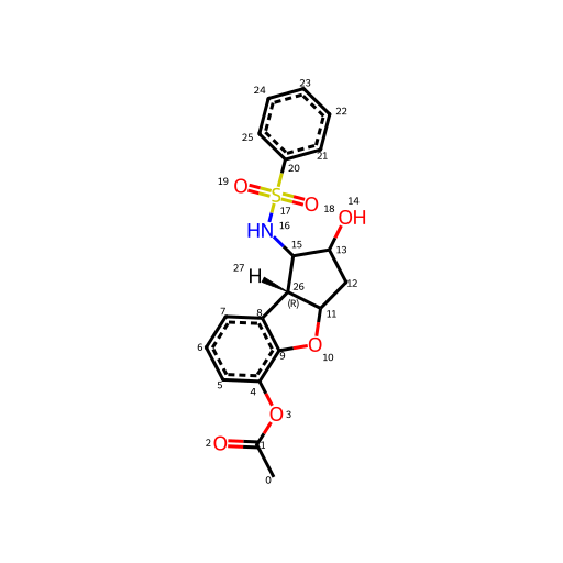 CC(=O)Oc1cccc2c1OC1CC(O)C(NS(=O)(=O)c3ccccc3)[C@@H]21